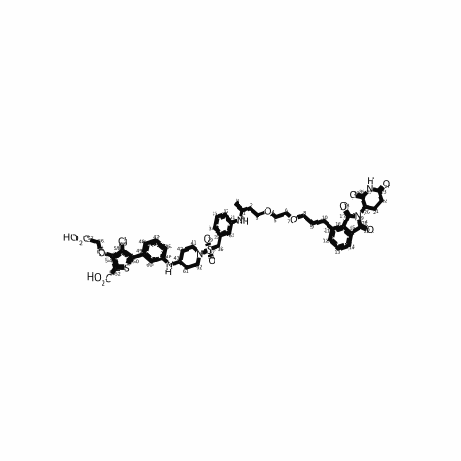 C=C(CCOCCOCCCc1cccc2c1C(=O)N(C1CCC(=O)NC1=O)C2=O)Nc1cccc(CS(=O)(=O)N2CCC(Nc3cccc(-c4sc(C(=O)O)c(OCC(=O)O)c4Cl)c3)CC2)c1